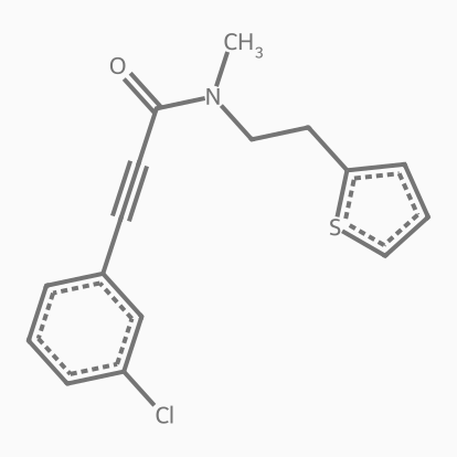 CN(CCc1cccs1)C(=O)C#Cc1cccc(Cl)c1